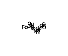 COC(=O)OCOc1ccnc(N(C)C2CCN(c3nc4ccccc4n3Cc3ccc(F)cc3)CC2)n1